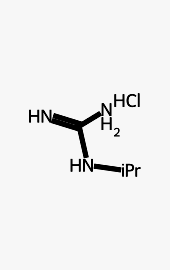 CC(C)NC(=N)N.Cl